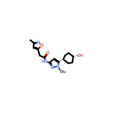 Cc1cc(CC(=O)Nc2cc([C@H]3CC[C@@H](O)CC3)n(C(C)(C)C)n2)on1